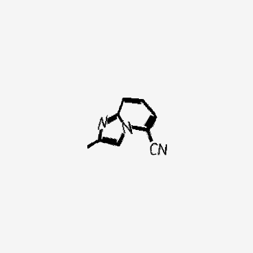 Cc1cn2c(C#N)cccc2n1